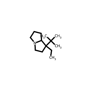 CCC1(C(C)(C)C)CCN2CCCC21